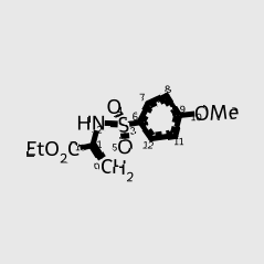 C=C(NS(=O)(=O)c1ccc(OC)cc1)C(=O)OCC